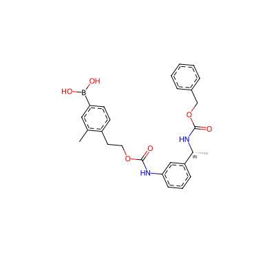 Cc1cc(B(O)O)ccc1CCOC(=O)Nc1cccc([C@@H](C)NC(=O)OCc2ccccc2)c1